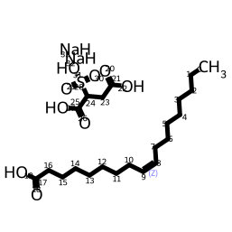 CCCCCCCC/C=C\CCCCCCCC(=O)O.O=C(O)CC(C(=O)O)S(=O)(=O)O.[NaH].[NaH]